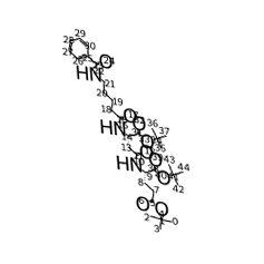 CC(C)(C)OC(=O)CC[C@H](NC(=O)C[C@H](NC(=O)CCCCNC(=O)c1ccccc1)C(=O)OC(C)(C)C)C(=O)OC(C)(C)C